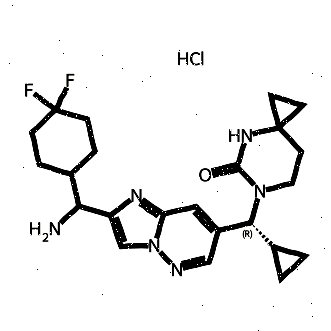 Cl.NC(c1cn2ncc([C@@H](C3CC3)N3CCC4(CC4)NC3=O)cc2n1)C1CCC(F)(F)CC1